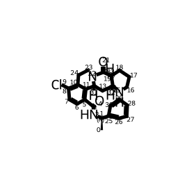 C[C@@H](NC(=O)c1ccc(Cl)c2c1[C@H]1C[C@H]3NCCC[C@H]3C(=O)N1CC2)c1ccccc1